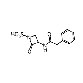 O=C(Cc1ccccc1)NC1CN(S(=O)(=O)O)C1=O